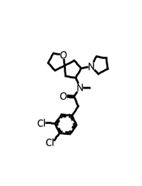 CN(C(=O)Cc1ccc(Cl)c(Cl)c1)C1CC2(CCCO2)CC1N1CCCC1